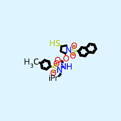 Cc1ccc(S(=O)(=O)N(CC(C)C)NC(=O)O[C@H]2C[C@@H](S)CN2S(=O)(=O)c2ccc3ccccc3c2)cc1